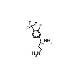 NCC[C@@H](N)c1ccc(C(F)(F)F)c(F)c1